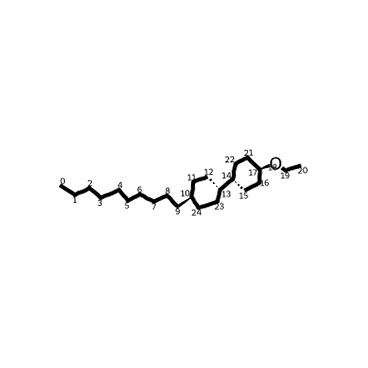 CCCCCCCCCC[C@H]1CC[C@H]([C@H]2CC[C@H](OCC)CC2)CC1